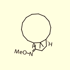 CON=C1CC[C@@H]2CCCCCCCCCCC[C@@H]1C2(C)C